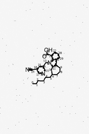 CCCCCCC1CCCc2c(n(Cc3cncc(C#N)c3)c3c(C(=O)O)cccc23)C1